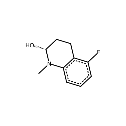 CN1c2cccc(F)c2CC[C@H]1O